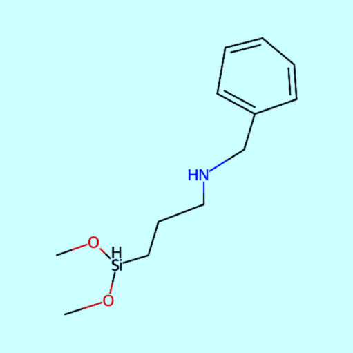 CO[SiH](CCCNCc1ccccc1)OC